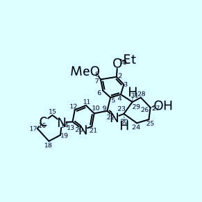 CCOc1cc2c(cc1OC)C(c1ccc(N3CCCCC3)nc1)=N[C@@H]1CC[C@@H](O)C[C@H]21